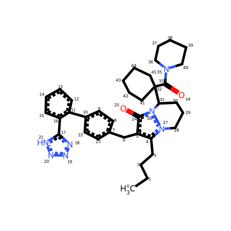 CCCCc1c(Cc2ccc(-c3ccccc3-c3nnn[nH]3)cc2)c(=O)n2n1CCCC2C1(C(=O)N2CCCCC2)CCCCC1